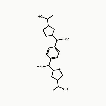 CSC(c1ccc(C(SC)C2SCC(C(C)O)S2)cc1)C1SCC(C(C)O)S1